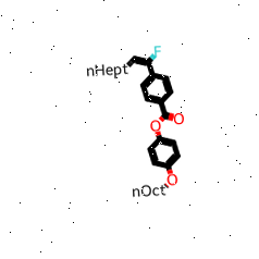 CCCCCCC/C=C(/F)c1ccc(C(=O)Oc2ccc(OCCCCCCCC)cc2)cc1